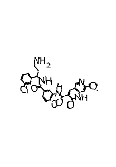 COc1cc2[nH]c(=O)c(C(=O)Nc3cc(C(=O)NC(CCN)c4cccc(Cl)c4)ccc3Cl)cc2cn1